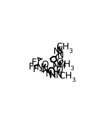 CNC(=O)c1nnc(N2CCN(C(C3CC3)C(F)(F)F)C2=O)cc1Nc1cccc(-c2ncn(C)n2)c1OC